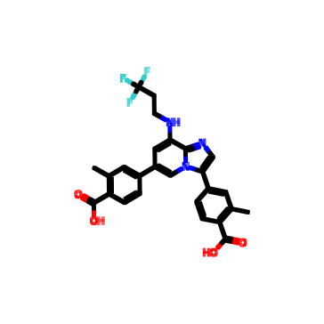 Cc1cc(-c2cc(NCCC(F)(F)F)c3ncc(-c4ccc(C(=O)O)c(C)c4)n3c2)ccc1C(=O)O